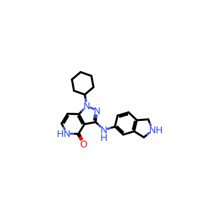 O=c1[nH]ccc2c1c(Nc1ccc3c(c1)CNC3)nn2C1CCCCC1